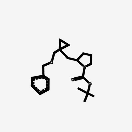 CC(C)(C)OC(=O)N1CCCC1CC1(COCc2ccccc2)CC1